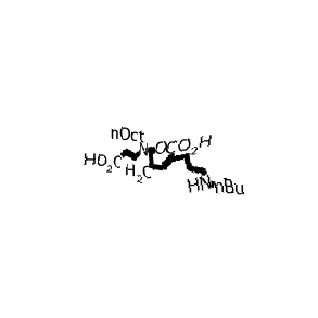 C=C(C=C(CCCNCCCC)C(=O)O)C(=O)N(C=CC(=O)O)CCCCCCCC